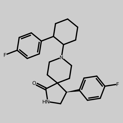 O=C1NC[C@H](c2ccc(F)cc2)C12CCN(C1CCCCC1c1ccc(F)cc1)CC2